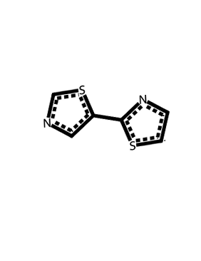 [c]1cnc(-c2cncs2)s1